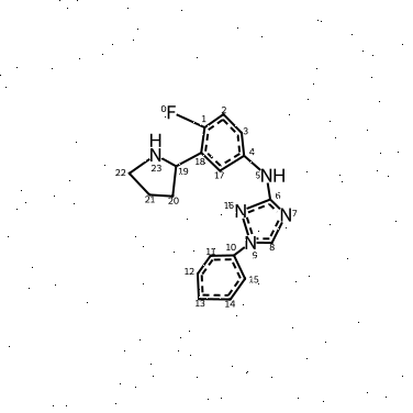 Fc1ccc(Nc2ncn(-c3ccccc3)n2)cc1C1CCCN1